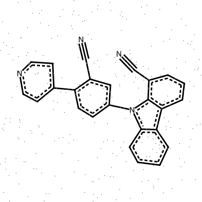 N#Cc1cc(-n2c3ccccc3c3cccc(C#N)c32)ccc1-c1ccncc1